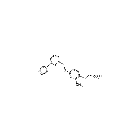 Cc1cc(OCc2cccc(-c3cccs3)c2)ccc1CCC(=O)O